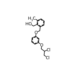 Cc1cccc(COc2cccc(OCC(Cl)CCl)c2)c1CO